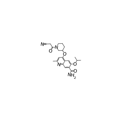 Cc1cc(O[C@@H]2CCCN(C(=O)CC#N)C2)c2cc(OC(C)C)c(C(N)=O)cc2n1